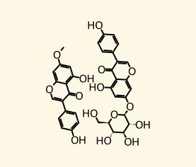 COc1cc(O)c2c(=O)c(-c3ccc(O)cc3)coc2c1.O=c1c(-c2ccc(O)cc2)coc2cc(O[C@@H]3O[C@H](CO)[C@@H](O)[C@H](O)[C@H]3O)cc(O)c12